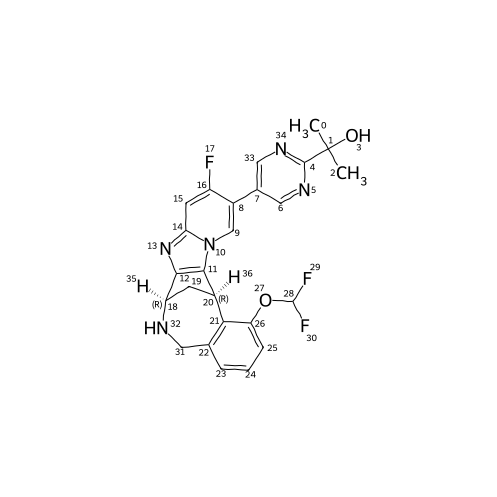 CC(C)(O)c1ncc(-c2cn3c4c(nc3cc2F)[C@H]2C[C@@H]4c3c(cccc3OC(F)F)CN2)cn1